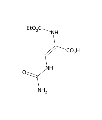 CCOC(=O)NC(=CNC(N)=O)C(=O)O